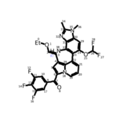 CCO/C=C/c1cc(C(=O)c2cc(F)c(F)c(F)c2)n2cccc(-c3c(OC(F)F)cc4c(nc(C)n4C)c3N)c12